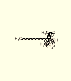 CCCCCCCCCCCCCCCC(=O)c1cc2c(C)cc(=O)oc2cc1C(C[N+](C)(C)C)OP(=O)([O-])O